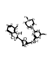 Cc1nc(Nc2ncc(C(=O)Nc3c(C)cccc3Cl)o2)nc(N2CCN(C)CC2)n1